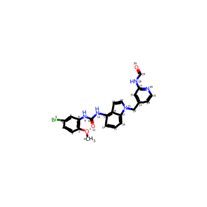 COc1ccc(Br)cc1NC(=O)Nc1cccc2c1ccn2Cc1ccnc(NC=O)c1